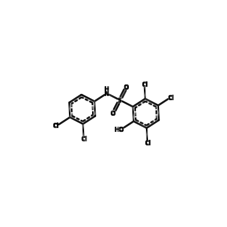 O=S(=O)(Nc1ccc(Cl)c(Cl)c1)c1c(O)c(Cl)cc(Cl)c1Cl